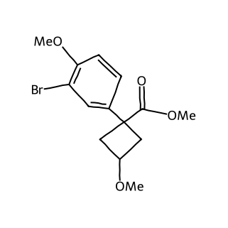 COC(=O)C1(c2ccc(OC)c(Br)c2)CC(OC)C1